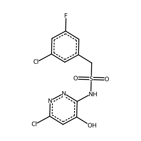 O=S(=O)(Cc1cc(F)cc(Cl)c1)Nc1nnc(Cl)cc1O